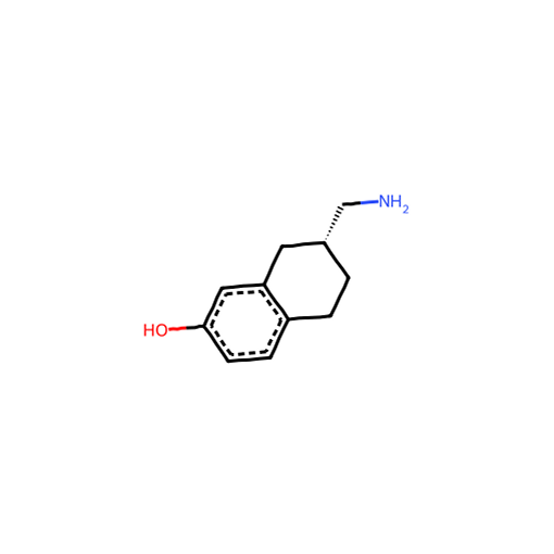 NC[C@@H]1CCc2ccc(O)cc2C1